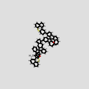 CC1C2=C(C=CC1c1ccccc1C1(c3ccccc3)c3ccccc3-c3cc4c(-c5ccc6c(c5)-c5ccccc5C65c6cc(-c7ccc8c(c7)-c7cccc9cccc(c79)S8)ccc6-c6ccc7ccccc7c65)cccc4cc31)Sc1cccc3cccc2c13